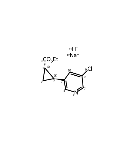 CCOC(=O)[C@H]1C[C@@H]1c1cncc(Cl)c1.[H-].[Na+]